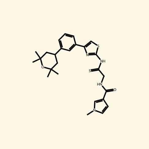 Cn1ccc(C(=O)NCC(=S)Nc2nc(-c3cccc(C4CC(C)(C)OC(C)(C)C4)c3)cs2)c1